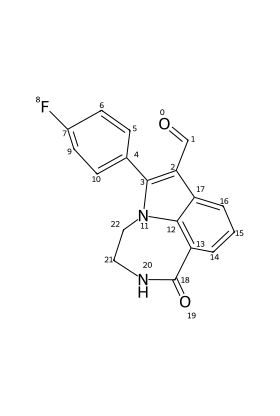 O=Cc1c(-c2ccc(F)cc2)n2c3c(cccc13)C(=O)NCC2